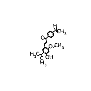 CCOc1cc(O)c(C(C)C)cc1C=CC(=O)c1ccc(NC)cc1